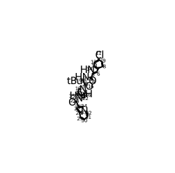 CC(C)(C)[C@H](NC(=O)c1cc2ccc(Cl)cc2[nH]1)C(=O)N1C[C@@H]2C[C@H]1CN2C(=O)c1cc2ccccn2c1